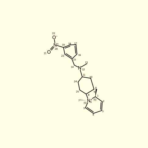 C[C@H]1C=CC=C[N@@+]1(C)C1CCC(N(C)Cc2cccc([N+](=O)[O-])c2)CC1